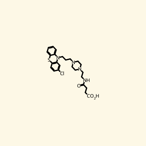 O=C(O)CCC(=O)NCCN1CCN(CCCN2c3ccccc3Sc3ccc(Cl)cc32)CC1